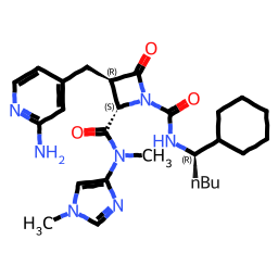 CCCC[C@@H](NC(=O)N1C(=O)[C@H](Cc2ccnc(N)c2)[C@H]1C(=O)N(C)c1cn(C)cn1)C1CCCCC1